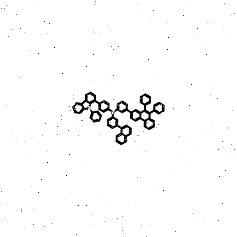 c1ccc(-c2c(-c3ccccc3)c3cc(-c4cccc(N(c5ccc(-c6cccc7c8ccccc8n(-c8ccccc8)c67)cc5)c5cccc(-c6cccc7ccccc67)c5)c4)ccc3c3ccccc23)cc1